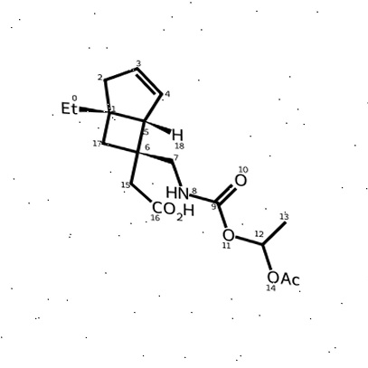 CC[C@@]12CC=C[C@@H]1[C@](CNC(=O)OC(C)OC(C)=O)(CC(=O)O)C2